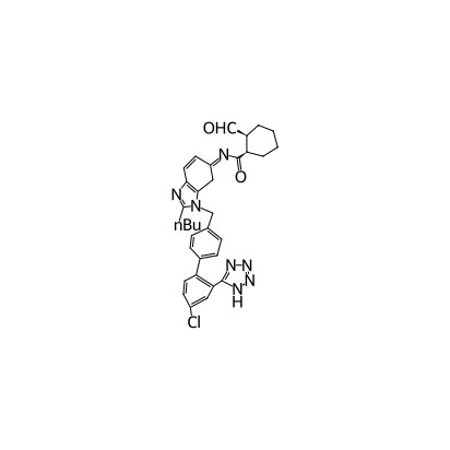 CCCCc1nc2c(n1Cc1ccc(-c3ccc(Cl)cc3-c3nnn[nH]3)cc1)CC(=NC(=O)[C@@H]1CCCC[C@@H]1C=O)C=C2